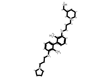 Cc1c(OCCCN2CCCC2)cccc1-c1cccc(OCCCN2CCCC(CO)C2)c1C